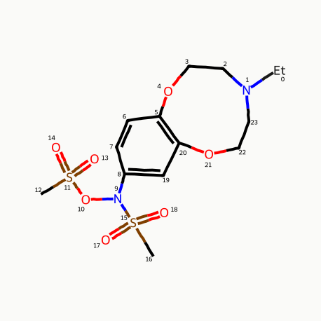 CCN1CCOc2ccc(N(OS(C)(=O)=O)S(C)(=O)=O)cc2OCC1